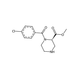 COC(=O)[C@H]1CNCCN1C(=O)c1ccc(Cl)cc1